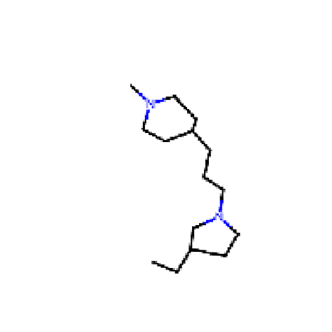 CCC1CCN(CCCC2CCN(C)CC2)C1